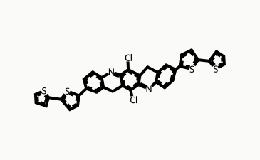 Clc1c2c(c(Cl)c3c1=Nc1ccc(-c4ccc(-c5cccs5)s4)cc1C3)=Nc1ccc(-c3ccc(-c4cccs4)s3)cc1C2